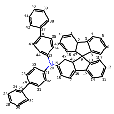 C1=CC2c3ccccc3C3(c4ccccc4C4=CC=C(N(c5ccc(-c6ccccc6)cc5)c5ccc(-c6ccccc6)cc5)CC43)C2C=C1